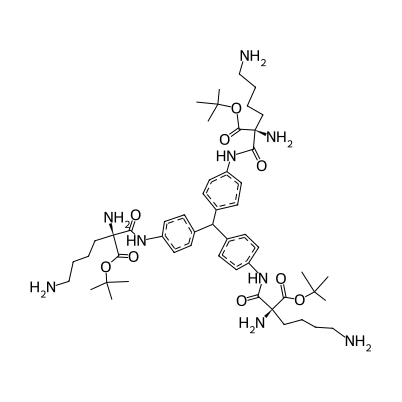 CC(C)(C)OC(=O)[C@](N)(CCCCN)C(=O)Nc1ccc(C(c2ccc(NC(=O)[C@@](N)(CCCCN)C(=O)OC(C)(C)C)cc2)c2ccc(NC(=O)[C@@](N)(CCCCN)C(=O)OC(C)(C)C)cc2)cc1